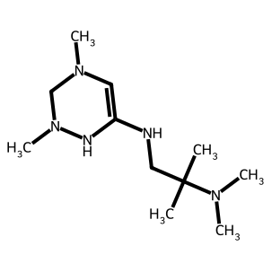 CN1C=C(NCC(C)(C)N(C)C)NN(C)C1